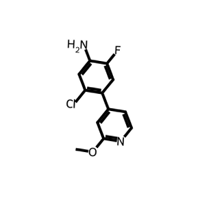 COc1cc(-c2cc(F)c(N)cc2Cl)ccn1